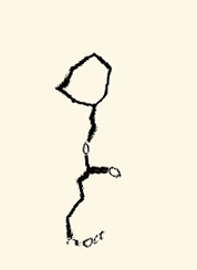 [CH2]CCCCCCCCCCC(=O)OCC1CCCCCC1